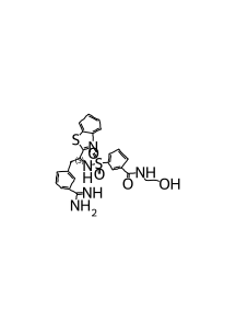 N=C(N)c1cccc(C[C@H](NS(=O)(=O)c2cccc(C(=O)NCCO)c2)c2nc3ccccc3s2)c1